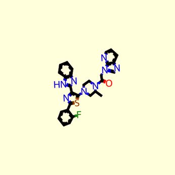 CC1CN(c2sc(-c3ccccc3F)nc2-c2nc3ccccc3[nH]2)CCN1C(=O)Cn1cnc2cccnc21